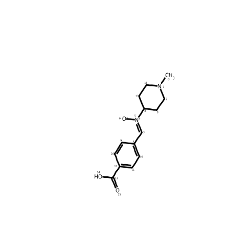 CN1CCC(/[N+]([O-])=C/c2ccc(C(=O)O)cc2)CC1